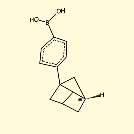 OB(O)c1ccc(C23CC4C[C@H](C2)C43)cc1